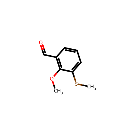 COc1c(C=O)cccc1SC